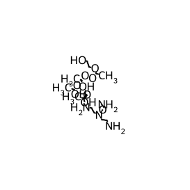 CC(=O)O.CC(=O)O.CC(=O)O.CC(=O)OCCO.NCCN(CCN)ON